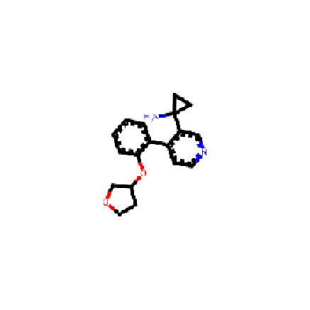 NC1(c2cnccc2-c2ccccc2OC2CCOC2)CC1